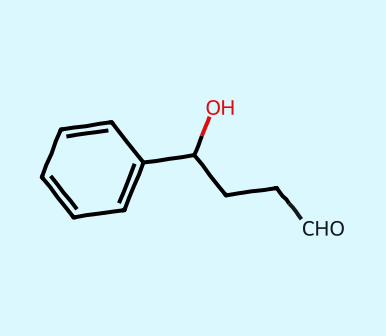 O=CCCC(O)c1ccccc1